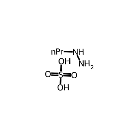 CCCNN.O=S(=O)(O)O